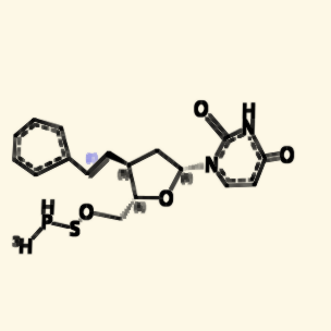 [3H]PSOC[C@H]1O[C@@H](n2ccc(=O)[nH]c2=O)C[C@@H]1/C=C/c1ccccc1